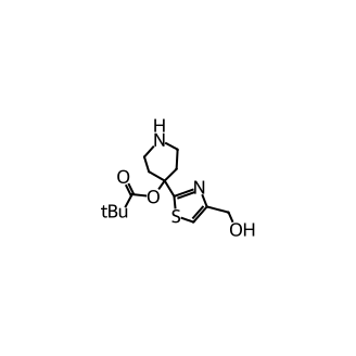 CC(C)(C)C(=O)OC1(c2nc(CO)cs2)CCNCC1